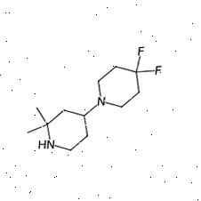 CC1(C)CC(N2CCC(F)(F)CC2)CCN1